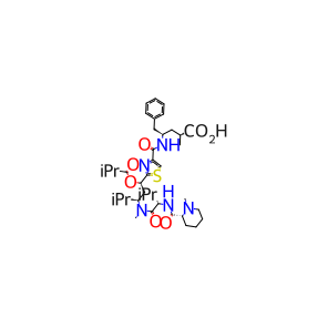 CC(C)C(=O)O[C@H](C[C@H](C(C)C)N(C)C(=O)[C@@H](NC(=O)[C@H]1CCCCN1C)C(C)C)c1nc(C(=O)N[C@@H](Cc2ccccc2)C[C@H](C)C(=O)O)cs1